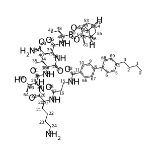 CCCCc1ccc(-c2ccc(C(=O)NCCC(=O)N[C@@H](CCCCN)C(=O)N[C@H](C(=O)N[C@@H](CC)C(=O)N[C@@H](CC(N)=O)C(=O)N[C@@H](CC)B3OC4C[C@@H]5C[C@@H](C5(C)C)[C@]4(C)O3)[C@@H](C)O)cc2)cc1